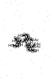 CC(=O)OCC(=O)Nc1c(I)c(C(=O)NCCN(CCNC(=O)c2c(I)c(NC(=O)C(COC(C)=O)OC(C)=O)c(I)c(C(=O)N(C)CC(O)CO)c2I)C(=O)c2c(I)c(NC(=O)COC(C)=O)c(I)c(C(=O)N(C)CC(O)CO)c2I)c(I)c(C(=O)N(C)CC(O)CO)c1I